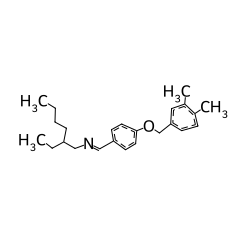 CCCCC(CC)C/N=C/c1ccc(OCc2ccc(C)c(C)c2)cc1